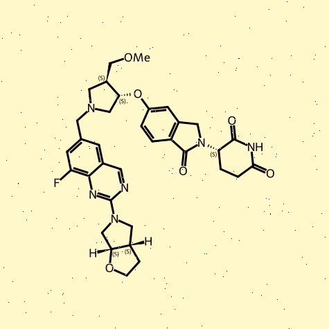 COC[C@@H]1CN(Cc2cc(F)c3nc(N4C[C@@H]5CCO[C@@H]5C4)ncc3c2)C[C@H]1Oc1ccc2c(c1)CN([C@H]1CCC(=O)NC1=O)C2=O